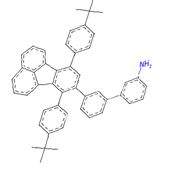 CC(C)(C)c1ccc(-c2cc(-c3cccc(-c4cccc(N)c4)c3)c(-c3ccc(C(C)(C)C)cc3)c3c2-c2cccc4cccc-3c24)cc1